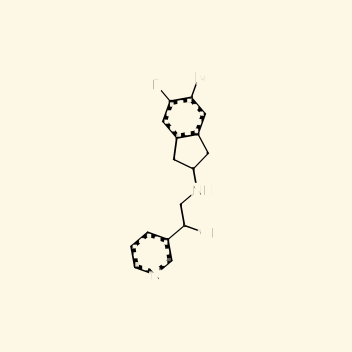 OC(CNC1Cc2cc(F)c(Br)cc2C1)c1cccnc1